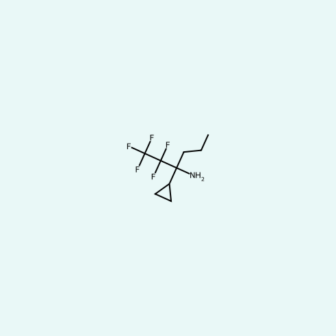 CCCC(N)(C1CC1)C(F)(F)C(F)(F)F